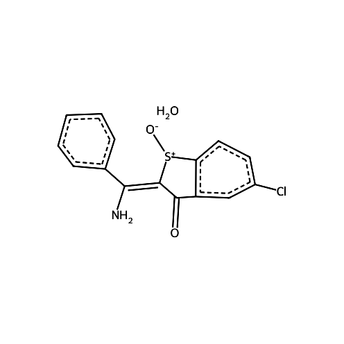 N/C(=C1\C(=O)c2cc(Cl)ccc2[S+]1[O-])c1ccccc1.O